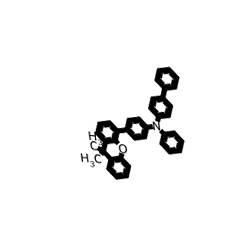 CC1(C)c2ccccc2Oc2c(-c3ccc(N(c4ccccc4)c4ccc(-c5ccccc5)cc4)cc3)cccc21